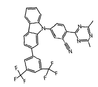 Cc1nc(C)nc(-c2ccc(-n3c4ccccc4c4ccc(-c5cc(C(F)(F)F)cc(C(F)(F)F)c5)cc43)cc2C#N)n1